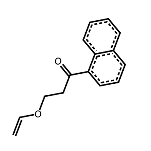 C=COCCC(=O)c1cccc2ccccc12